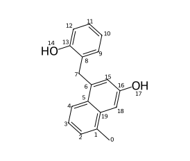 Cc1cccc2c(Cc3ccccc3O)cc(O)cc12